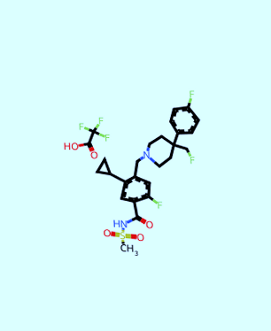 CS(=O)(=O)NC(=O)c1cc(C2CC2)c(CN2CCC(CF)(c3ccc(F)cc3)CC2)cc1F.O=C(O)C(F)(F)F